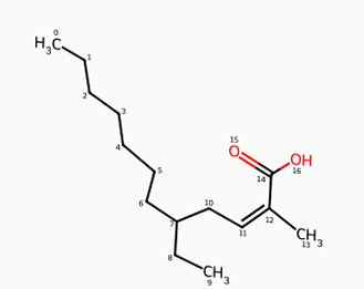 CCCCCCCC(CC)CC=C(C)C(=O)O